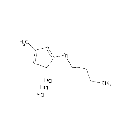 CCC[CH2][Ti][C]1=CC(C)=CC1.Cl.Cl.Cl